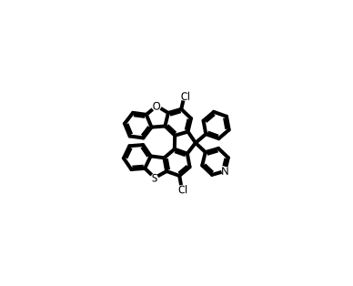 Clc1cc2c(c3c1oc1ccccc13)-c1c(cc(Cl)c3sc4ccccc4c13)C2(c1ccccc1)c1ccncc1